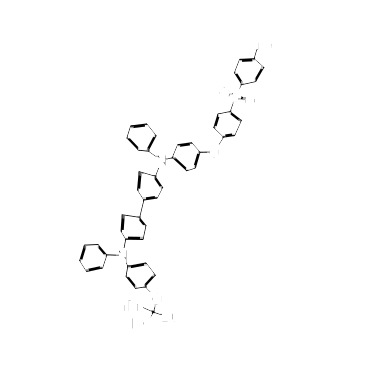 CCCC(C)c1ccc(S(=O)(=O)c2ccc(Oc3ccc(N(c4ccccc4)c4ccc(-c5ccc(N(c6ccccc6)c6ccc(OC(C)(CC)CCC)cc6)cc5)cc4)cc3)cc2)cc1